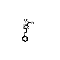 CC(C)C(C)c1nnc(CSc2ccccc2)o1